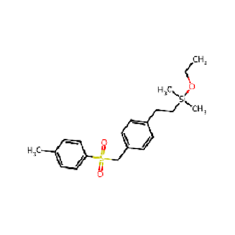 CCO[Si](C)(C)CCc1ccc(CS(=O)(=O)c2ccc(C)cc2)cc1